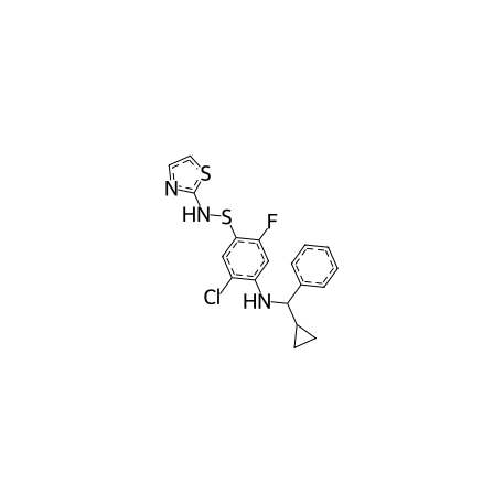 Fc1cc(NC(c2ccccc2)C2CC2)c(Cl)cc1SNc1nccs1